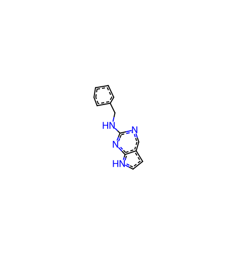 c1ccc(CNc2ncc3cc[nH]c3n2)cc1